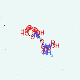 CO[C@H]1/C=C/O[C@@]2(C)Oc3c(C)c(O)c4c(=O)c(c5oc6cc(N7CCC(c8ccc(OCc9ccc(NC(=O)[C@H](CCCNC(N)=O)NC(=O)[C@@H](NC(=O)CCCCCN%10C(=O)C=CC%10O)C(C)C)cc9)cc8)CC7)cc(O)c6nc-5c4c3C2=O)NC(=O)/C(C)=C\C=C\[C@H](C)[C@H](O)[C@@H](C)[C@@H](O)[C@@H](C)[C@H](OC(C)=O)[C@@H]1C